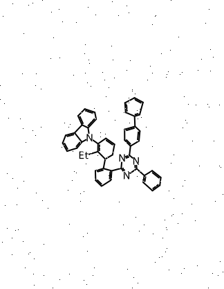 CCC1=C(n2c3ccccc3c3ccccc32)C=CCC1c1ccccc1-c1nc(-c2ccccc2)nc(-c2ccc(-c3ccccc3)cc2)n1